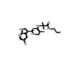 CC(C)(NC1=C(F)CNC(c2c[nH]c3ncc(Cl)cc23)=N1)C(=O)NCCF